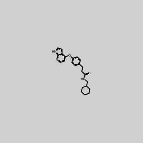 O=C(CCc1ccc(Oc2ccnc3[nH]ccc23)cc1)NCC1CCCCC1